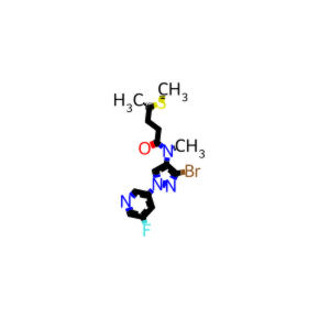 CS[C@@H](C)CCC(=O)N(C)c1cn(-c2cncc(F)c2)nc1Br